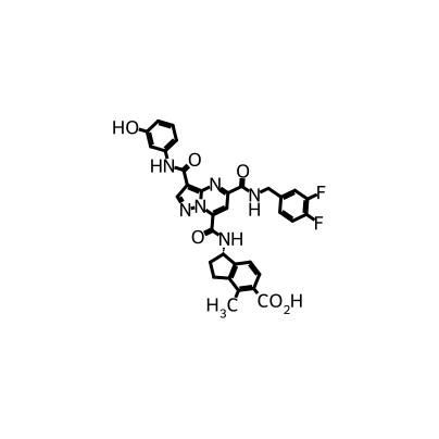 Cc1c(C(=O)O)ccc2c1CC[C@@H]2NC(=O)c1cc(C(=O)NCc2ccc(F)c(F)c2)nc2c(C(=O)Nc3cccc(O)c3)cnn12